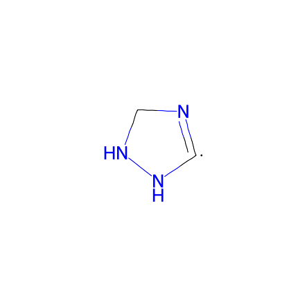 [C]1=NCNN1